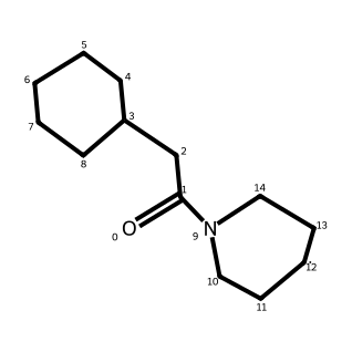 O=C(CC1CCCCC1)N1CC[CH]CC1